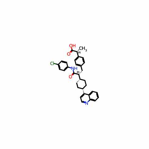 C[C@@H](C(=O)O)c1ccc(C[C@@H](C(=O)Nc2ccc(Cl)cc2)[C@H]2CC[C@@H](c3ccnc4ccccc43)CC2)cc1